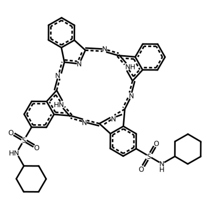 O=S(=O)(NC1CCCCC1)c1ccc2c(c1)-c1nc-2nc2[nH]c(nc3nc(nc4[nH]c(n1)c1ccccc41)-c1ccccc1-3)c1ccc(S(=O)(=O)NC3CCCCC3)cc21